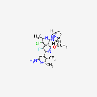 Cc1nc(N)cc(-c2nc3c4c(nc(C)c(Cl)c4c2F)N2C[C@H]4CC[C@H](N4)[C@H]2[C@H](C)O3)c1C(F)(F)F